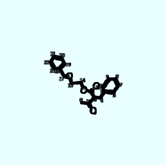 CC(=O)C(Cc1ccccc1)C(=O)OCCOCc1ccccc1